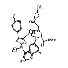 CCN(c1nc(-c2ccc(F)cc2)c(C#N)s1)c1cc(C(C)C)nc2c(F)cc(N3CCN(CC(=O)N4CC(O)C4)CC3C(=O)OC)cc12